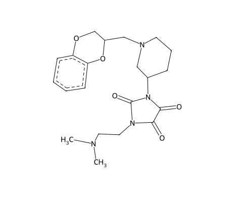 CN(C)CCN1C(=O)C(=O)N(C2CCCN(CC3COc4ccccc4O3)C2)C1=O